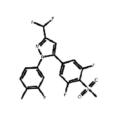 Cc1ccc(-n2nc(C(F)F)cc2-c2cc(F)c(S(C)(=O)=O)c(F)c2)cc1F